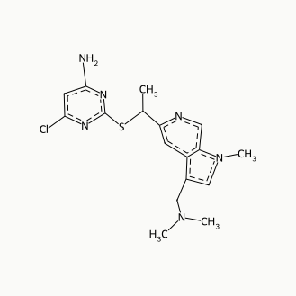 CC(Sc1nc(N)cc(Cl)n1)c1cc2c(CN(C)C)cn(C)c2cn1